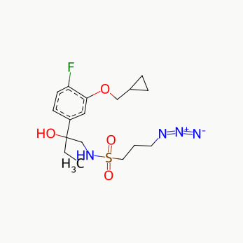 CCC(O)(CNS(=O)(=O)CCCN=[N+]=[N-])c1ccc(F)c(OCC2CC2)c1